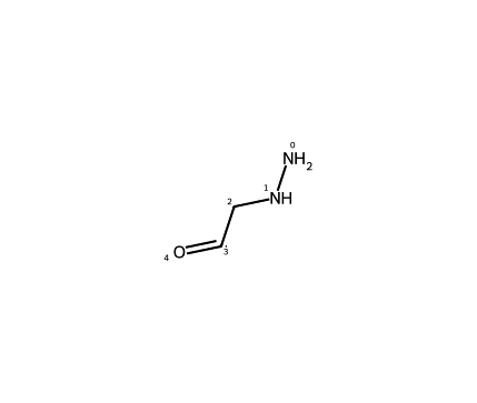 NNC[C]=O